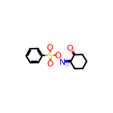 O=C1CCCC/C1=N/OS(=O)(=O)c1ccccc1